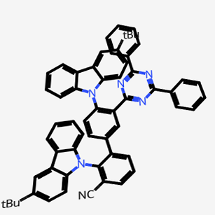 CC(C)(C)c1ccc2c(c1)c1ccccc1n2-c1ccc(-c2cccc(C#N)c2-n2c3ccccc3c3cc(C(C)(C)C)ccc32)cc1-c1nc(-c2ccccc2)nc(-c2ccccc2)n1